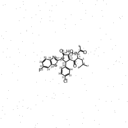 CC(=O)NC(CC(C)C)C(=O)C1=C(O)C(=O)N(c2nc3ccc(F)cc3s2)C1c1ccc(Cl)cc1